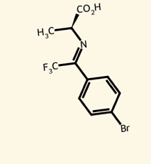 C[C@H](/N=C(/c1ccc(Br)cc1)C(F)(F)F)C(=O)O